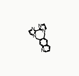 c1cnc2cc3c(cc2c1)Cn1ccnc1-c1nccn1C3